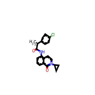 C[C@H](C(=O)Nc1cccc2c(=O)n(C3CC3)ccc12)c1ccc(Cl)cc1